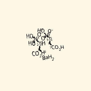 O=C(O)[CH2][Ti][N+]([O-])(O)O.O=C(O)[CH2][Ti][N+]([O-])(O)O.[BaH2]